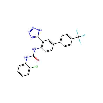 O=C(Nc1ccccc1Cl)Nc1ccc(-c2ccc(C(F)(F)F)cc2)cc1-c1nnn[nH]1